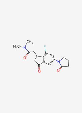 CN(C)C(=O)CC1CC(=O)c2cc(N3CCCC3=O)cc(F)c21